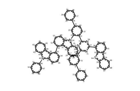 c1ccc(-c2cccc(-c3nc(-c4ccc(-c5ccccc5)cc4-n4c5ccccc5c5c(-c6cccc7c6c6ccccc6n7-c6ccccc6)cccc54)nc(-c4cccc5c4sc4ccccc45)n3)c2)cc1